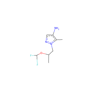 Cc1c(N)cnn1CC(C)OC(F)F